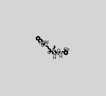 CCCN1C[C@H](N(C)C(=O)NCc2cccc(F)c2Cl)NCC1C(=O)CCCCOC(=O)Nc1cc2ccccc2cn1